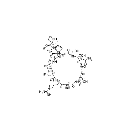 CC[C@H](C)[C@@H]1NC(=O)[C@@H](CCCNC(=N)N)NC(=O)[C@H](CC(C)C)NC(=O)[C@H]([C@H](O)C(C)C)NC(=O)[C@@H](NC(=O)[C@H](CC(C)C)NC(=O)[C@](C)(N)CC(C)C)[C@@H](c2ccccc2)OC(=O)[C@H](CO)NC(=O)[C@H]([C@H](O)C(N)=O)NC(=O)CNC(=O)[C@H]([C@H](C)O)NC1=O